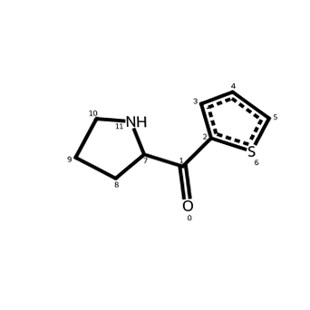 O=C(c1cccs1)C1CCCN1